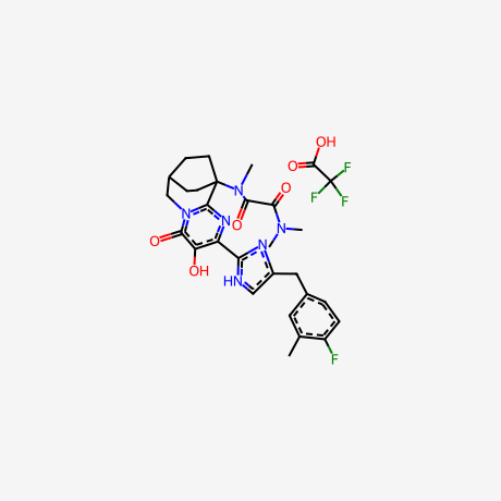 Cc1cc(Cc2c[nH]c(-c3nc4n(c(=O)c3O)CC3CCC4(N(C)C(=O)C(=O)N(C)C)CC3)n2)ccc1F.O=C(O)C(F)(F)F